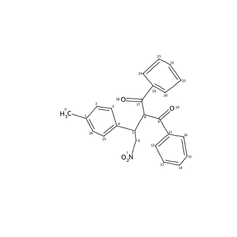 Cc1ccc(C(C[N+](=O)[O-])C(C(=O)c2ccccc2)C(=O)c2ccccc2)cc1